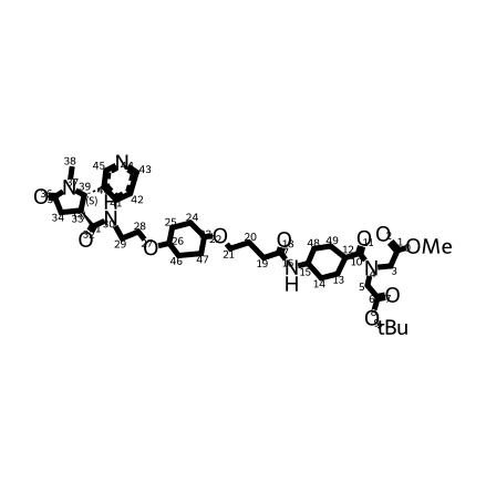 COC(=O)CN(CC(=O)OC(C)(C)C)C(=O)C1CCC(NC(=O)CCCOC2CCC(OCCNC(=O)[C@H]3CC(=O)N(C)[C@@H]3c3cccnc3)CC2)CC1